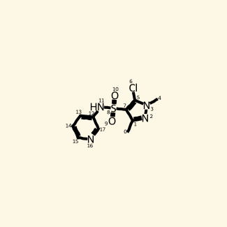 Cc1nn(C)c(Cl)c1S(=O)(=O)Nc1cccnc1